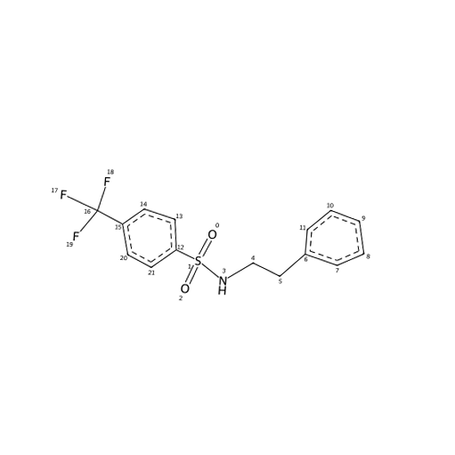 O=S(=O)(NCCc1ccccc1)c1ccc(C(F)(F)F)cc1